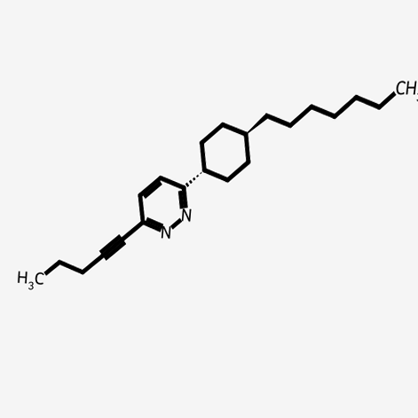 CCCC#Cc1ccc([C@H]2CC[C@H](CCCCCCC)CC2)nn1